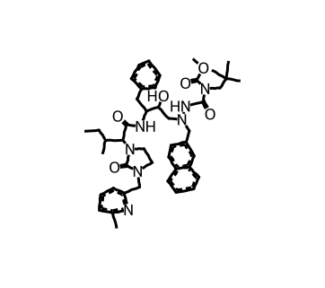 CCC(C)C(C(=O)NC(Cc1ccccc1)C(O)CN(Cc1ccc2ccccc2c1)NC(=O)N(CC(C)(C)C)C(=O)OC)N1CCN(Cc2cccc(C)n2)C1=O